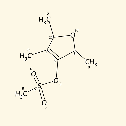 CC1=C(OS(C)(=O)=O)C(C)OC1C